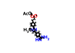 CC(=O)OCOC(=O)CCc1ccc(-c2nc(-c3ccc(C(=N)N)cc3)cn2C)cc1